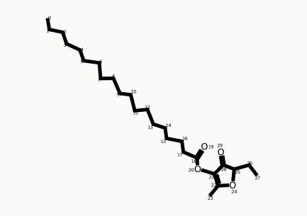 CCCCCCCCCCCCCCCCCCC(=O)OC1=C(C)OC(CC)C1=O